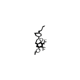 CCCCC1CCC(C2CCc3cc(OCC)c(F)c(F)c3O2)CC1